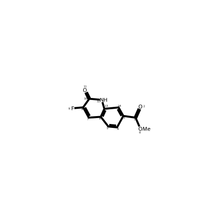 COC(=O)c1ccc2cc(F)c(=O)[nH]c2c1